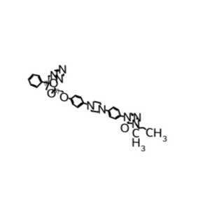 CCC(C)n1ncn(-c2ccc(N3CCN(c4ccc(OC[C@H]5OC[C@](Cn6cncn6)(c6ccccc6)O5)cc4)CC3)cc2)c1=O